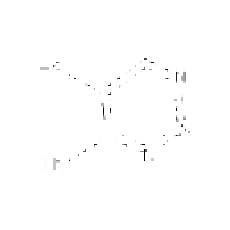 Sc1cnnnc1S